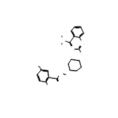 CN(C)c1nc(N[C@H]2CC[C@@H](CNC(=O)c3cc(Cl)ccc3O)CC2)nc2ccccc12